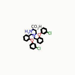 N[C@@H](CCN(Cc1ccccc1Oc1cccc(Cl)c1)Cc1ccccc1Oc1cccc(Cl)c1)C(=O)O